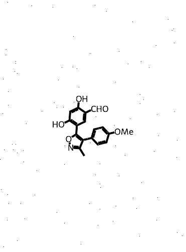 COc1ccc(-c2c(C)noc2-c2cc(C=O)c(O)cc2O)cc1